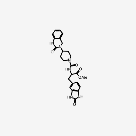 COC(=O)C(Cc1ccc2[nH]c(=O)[nH]c2c1)NC(=O)N1CCC(N2Cc3ccccc3NC2=O)CC1